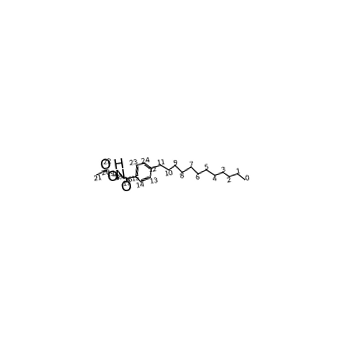 CCCCCCCCCCCCc1ccc(C(=O)NOC(C)=O)cc1